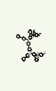 Fc1ccc(-n2c3ccccc3c3cc(N(c4ccc(-c5ccccc5)cc4)c4ccc(-c5ccc(N(c6ccc(-c7ccccc7)cc6)c6ccc7c(c6)c6ccccc6n7-c6ccc(F)cc6F)cc5)cc4)ccc32)c(F)c1